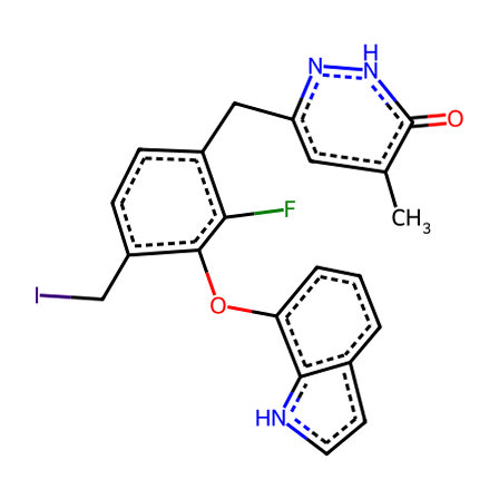 Cc1cc(Cc2ccc(CI)c(Oc3cccc4cc[nH]c34)c2F)n[nH]c1=O